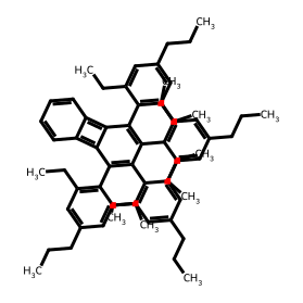 CCCc1cc(CC)c(-c2c(-c3c(CC)cc(CCC)cc3CC)c(-c3c(CC)cc(CCC)cc3CC)c3c(c2-c2c(CC)cc(CCC)cc2CC)=c2ccccc2=3)c(CC)c1